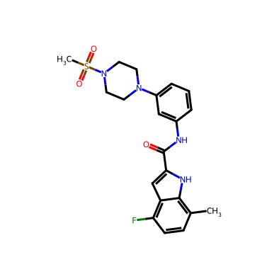 Cc1ccc(F)c2cc(C(=O)Nc3cccc(N4CCN(S(C)(=O)=O)CC4)c3)[nH]c12